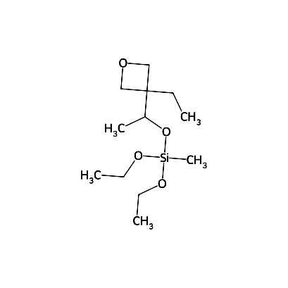 CCO[Si](C)(OCC)OC(C)C1(CC)COC1